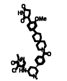 COc1cc(C2CCC3(CC2)CCN(C(=O)c2ccc([C@H]4C[C@@H](Nc5cnn(C)c(=O)c5Cl)CN(C)C4)cc2)CC3)ccc1C1CCC(=O)NC1=O